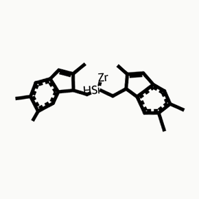 CC1=Cc2cc(C)c(C)cc2C1C[SiH]([Zr])CC1C(C)=Cc2cc(C)c(C)cc21